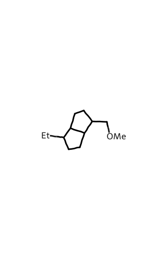 CCC1CCC2C(COC)CCC12